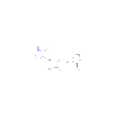 NC(=O)N(CCN1CCNC1=O)CCN1CCNC1=O